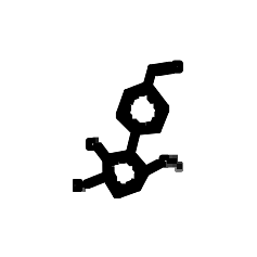 Cc1ccc(Br)c(Cl)c1-c1ccc(C=O)cc1